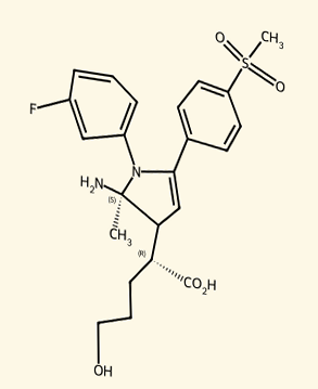 C[C@@]1(N)C([C@@H](CCCO)C(=O)O)C=C(c2ccc(S(C)(=O)=O)cc2)N1c1cccc(F)c1